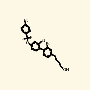 CCc1ccc(C(F)(F)Oc2ccc(-c3ccc(CCCCO)cc3CC)c(CC)c2)cc1